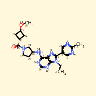 CCn1c(-c2cnc(C)nc2)nc2c(NC3CCN(C(=O)[C@H]4C[C@H](OC)C4)C3)ncnc21